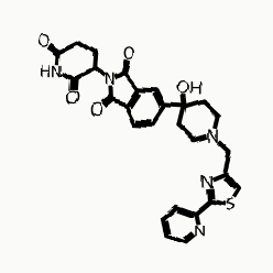 O=C1CCC(N2C(=O)c3ccc(C4(O)CCN(Cc5csc(-c6ccccn6)n5)CC4)cc3C2=O)C(=O)N1